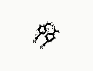 CC(=O)c1ccc(C#N)cc1.N#Cc1ccc(C=O)cc1